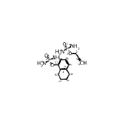 C#CCOP(N)(N)=O.NP(N)(=O)Oc1cccc2c1CCCC2